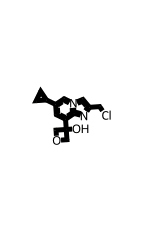 OC1(c2cc(C3CC3)cn3cc(CCl)nc23)COC1